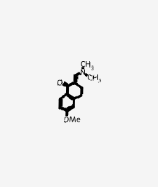 COc1ccc2c(c1)CCC(=CN(C)C)C2=O